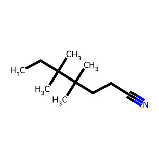 CCC(C)(C)C(C)(C)CCC#N